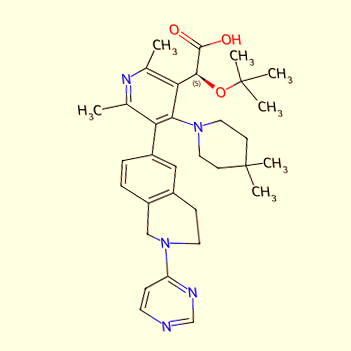 Cc1nc(C)c([C@H](OC(C)(C)C)C(=O)O)c(N2CCC(C)(C)CC2)c1-c1ccc2c(c1)CCN(c1ccncn1)C2